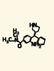 CCN(CC)C(=O)c1ccc(C(=C2CCNCC2)c2ccccc2)c(N)c1